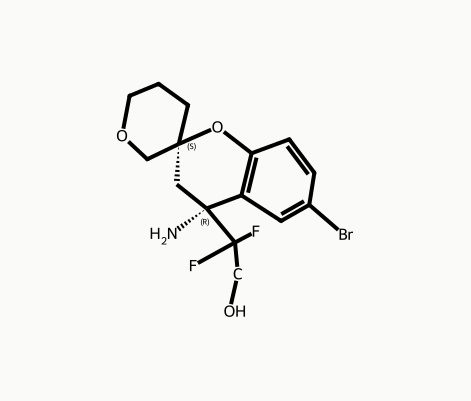 N[C@]1(C(F)(F)CO)C[C@]2(CCCOC2)Oc2ccc(Br)cc21